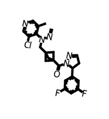 C=NN(CC12CC(C(=O)N3N=CCC3c3cc(F)cc(F)c3)(C1)C2)c1c(C)cncc1Cl